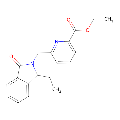 CCOC(=O)c1cccc(CN2C(=O)c3ccccc3C2CC)n1